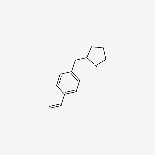 C=Cc1ccc(CC2CCCS2)cc1